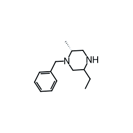 CCC1CN(Cc2ccccc2)[C@H](C)CN1